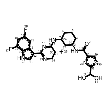 O=C(N[C@@H]1CCC[C@H](NC2=NC(c3c[nH]c4c(F)cc(F)cc34)=NC[C@H]2F)C1)c1csc(C(O)O)n1